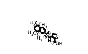 CC1(C)CCC(C)(C)c2cc(S(=O)(=O)Nc3ccsc3C(=O)O)ccc21